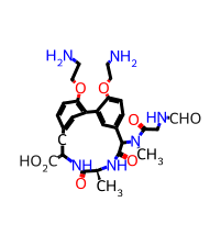 C[C@@H]1NC(=O)C(N(C)C(=O)CNC=O)c2ccc(OCCN)c(c2)-c2cc(ccc2OCCN)CC(C(=O)O)NC1=O